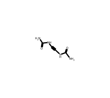 NC(=O)NC#CNC(N)=O